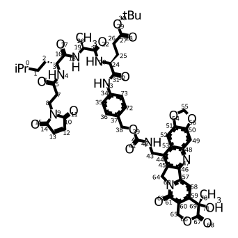 CC(C)CC[C@@H](NC(=O)CCN1C(=O)C=CC1=O)C(=O)N[C@@H](C)C(=O)N[C@@H](CCC(=O)OC(C)(C)C)C(=O)Nc1ccc(COC(=O)NCc2c3c(nc4cc5c(cc24)OCO5)-c2cc4c(c(=O)n2C3)COC(=O)[C@@]4(C)O)cc1